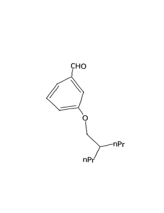 CCCC(CCC)COc1cccc(C=O)c1